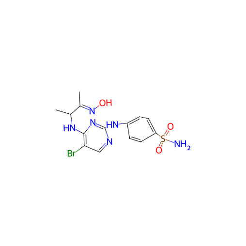 CC(=NO)C(C)Nc1nc(Nc2ccc(S(N)(=O)=O)cc2)ncc1Br